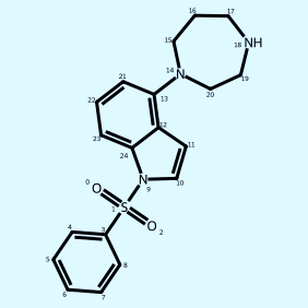 O=S(=O)(c1ccccc1)n1ccc2c(N3CCCNCC3)cccc21